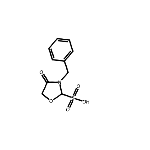 O=C1COC(S(=O)(=O)O)N1Cc1ccccc1